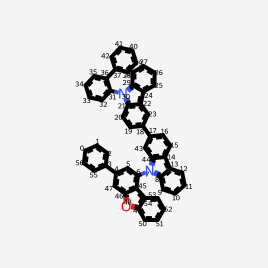 c1ccc(-c2cc(-n3c4ccccc4c4ccc(-c5ccc6c(c5)c5ccccc5n6-c5ccccc5-c5ccccc5)cc43)c3c(c2)oc2ccccc23)cc1